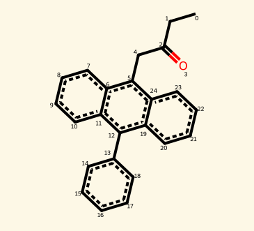 CCC(=O)Cc1c2ccccc2c(-c2ccccc2)c2ccccc12